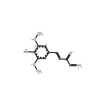 C=CC(=O)/C=C/c1cc(OC)c(O)c(OC)c1